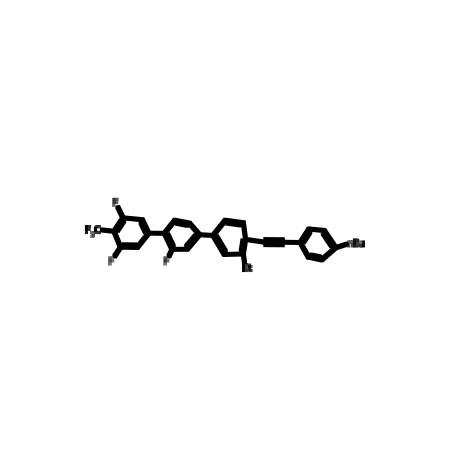 CCCCc1ccc(C#Cc2ccc(-c3ccc(-c4cc(F)c(C(F)(F)F)c(F)c4)c(F)c3)cc2CC)cc1